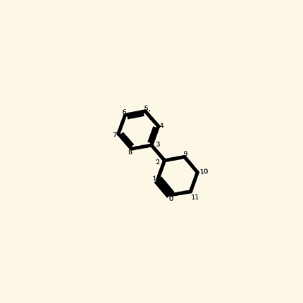 C1#CC(c2c[c]ccc2)CCC1